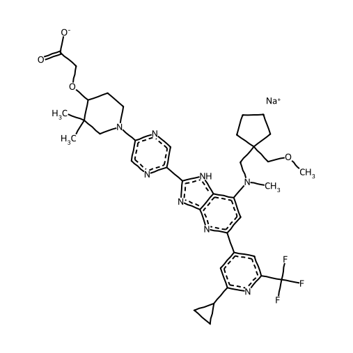 COCC1(CN(C)c2cc(-c3cc(C4CC4)nc(C(F)(F)F)c3)nc3nc(-c4cnc(N5CCC(OCC(=O)[O-])C(C)(C)C5)cn4)[nH]c23)CCCC1.[Na+]